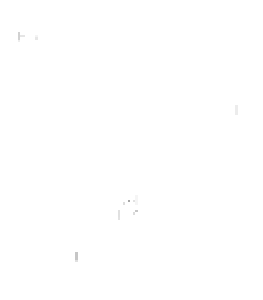 CCCCCCCCCCCCCCCCCCCc1n(CCCCC)cc[n+]1CCCCCCCCCCCCC